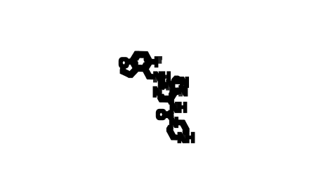 O=C(Nc1cnc(NCc2c(F)ccc3c2CCO3)n2cnnc12)N1CCNCC1